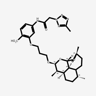 Cc1nnn(CC(=O)Nc2ccc(C(=O)O)c(OCCCO[C@H]3O[C@@H]4O[C@@]5(C)CCC6[C@H](C)CC[C@@H]([C@H]3C)[C@]64OO5)c2)n1